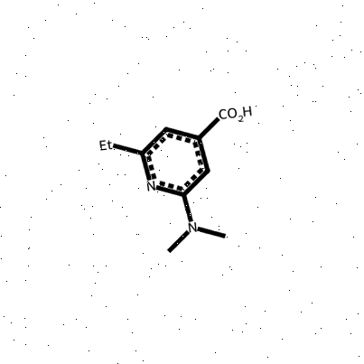 CCc1cc(C(=O)O)cc(N(C)C)n1